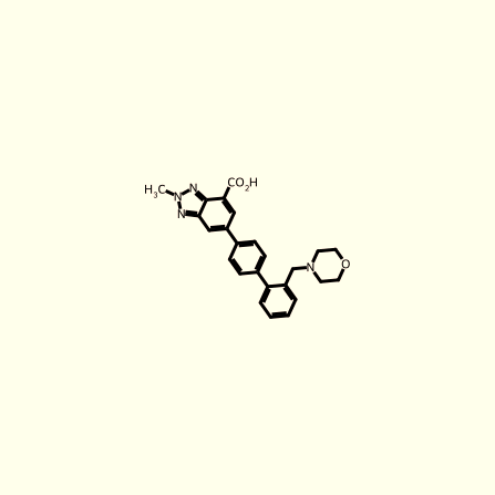 Cn1nc2cc(-c3ccc(-c4ccccc4CN4CCOCC4)cc3)cc(C(=O)O)c2n1